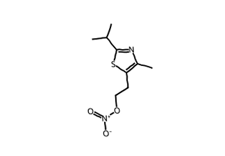 Cc1nc(C(C)C)sc1CCO[N+](=O)[O-]